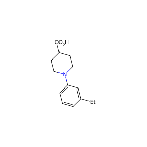 CCc1cccc(N2CCC(C(=O)O)CC2)c1